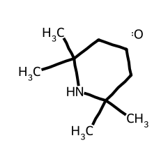 CC1(C)CCCC(C)(C)N1.[O]